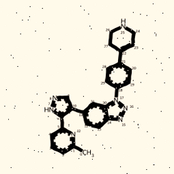 Cc1cccc(-c2[nH]ncc2-c2ccc3nnn(-c4ccc(C5=CCNCC5)cc4)c3c2)n1